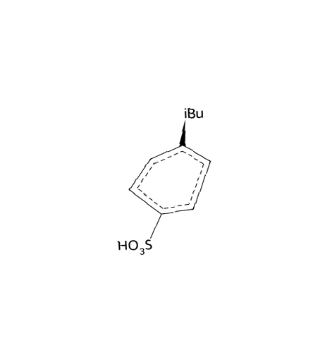 CC[C@H](C)c1ccc(S(=O)(=O)O)cc1